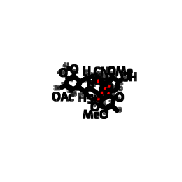 COC1=C(C)C(=O)C2=C(C1=O)[C@@H]1C3[C@@H]4SC[C@]5(NCCc6cc(O)c(OC)cc65)C(=O)OC[C@@H](c5c6c(c(C)c(OC(C)=O)c54)OCO6)N3[C@@H](C#N)[C@H](C2)N1C